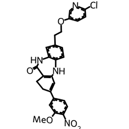 COc1cc(C2=CC3=C(CC2)C(=O)Nc2cc(CCOc4ccc(Cl)nc4)ccc2N3)ccc1[N+](=O)[O-]